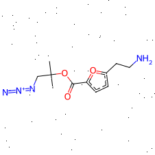 CC(C)(CN=[N+]=[N-])OC(=O)c1ccc(CCN)o1